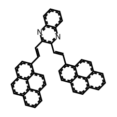 C(=Cc1ccc2ccc3cccc4ccc1c2c34)c1nc2ccccc2nc1C=Cc1ccc2ccc3cccc4ccc1c2c34